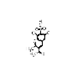 CC(=O)C(=Cc1cc(Cl)c(S(C)(=O)=O)c(Cl)c1)C(C)=O